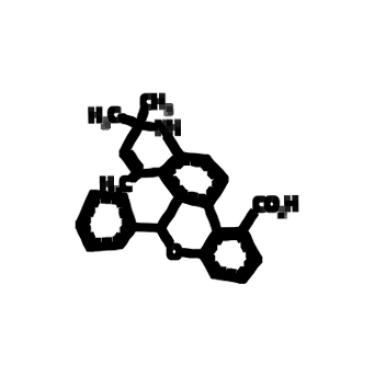 CC1=CC(C)(C)Nc2ccc3c(c21)C(c1ccccc1)Oc1cccc(C(=O)O)c1-3